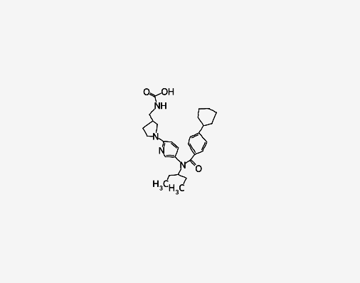 CCC(CC)N(C(=O)c1ccc(C2CCCCC2)cc1)c1ccc(N2CCC(CNC(=O)O)C2)nc1